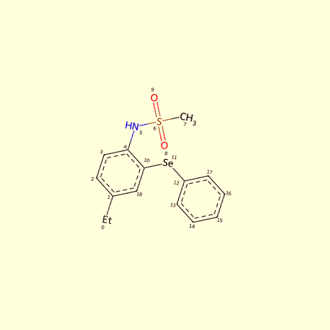 CCc1ccc(NS(C)(=O)=O)c([Se]c2ccccc2)c1